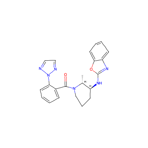 C[C@@H]1[C@@H](Nc2nc3ccccc3o2)CCCN1C(=O)c1ccccc1-n1nccn1